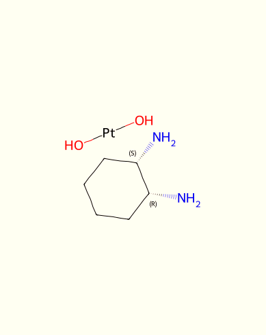 N[C@@H]1CCCC[C@@H]1N.[OH][Pt][OH]